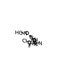 C[C@H](c1ccc(Cl)cc1F)n1nc(C#N)c2ncc(N3CC([C@H]4CCCN(CCO)C4)C3)nc21